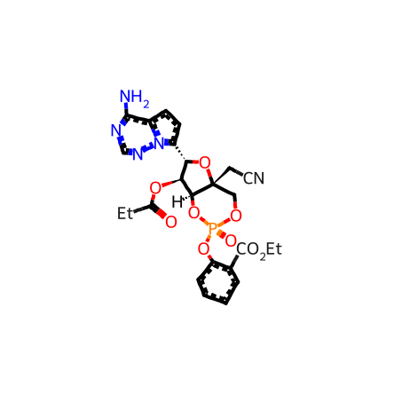 CCOC(=O)c1ccccc1OP1(=O)OC[C@@]2(CC#N)O[C@@H](c3ccc4c(N)ncnn34)[C@H](OC(=O)CC)[C@@H]2O1